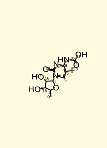 CC1OC(n2cc(F)c(NC(=O)O)nc2=O)C(O)C1O